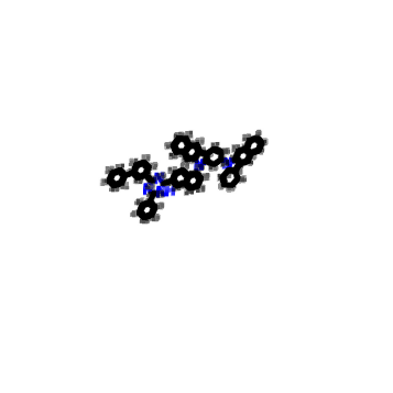 C1=Cc2c(c3cc4ccccc4cc3n2C2C=Cc3c(n(-c4cccc5cc(C6N=C(c7cccc(-c8ccccc8)c7)N=C(c7ccccc7)N6)ccc45)c4cc5ccccc5cc34)C2)CC1